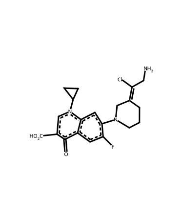 NCC(Cl)=C1CCCN(c2cc3c(cc2F)c(=O)c(C(=O)O)cn3C2CC2)C1